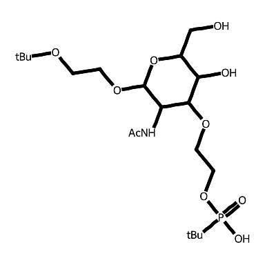 CC(=O)NC1C(OCCOC(C)(C)C)OC(CO)C(O)C1OCCOP(=O)(O)C(C)(C)C